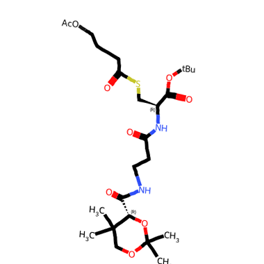 CC(=O)OCCCC(=O)SC[C@H](NC(=O)CCNC(=O)[C@@H]1OC(C)(C)OCC1(C)C)C(=O)OC(C)(C)C